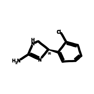 NC1=N[C@H](c2ccccc2Cl)CN1